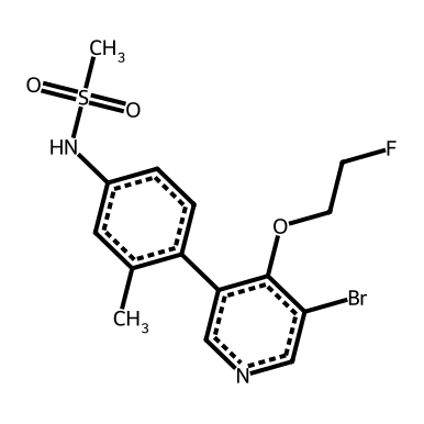 Cc1cc(NS(C)(=O)=O)ccc1-c1cncc(Br)c1OCCF